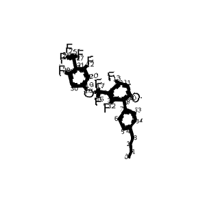 CCCCc1ccc(-c2c([O])cc(F)c(C(F)(F)Oc3cc(F)c(C(F)(F)F)c(F)c3)c2F)cc1